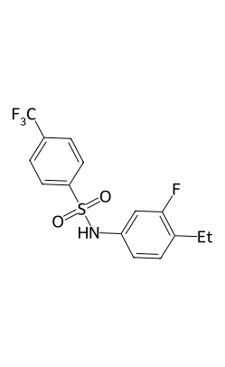 CCc1ccc(NS(=O)(=O)c2ccc(C(F)(F)F)cc2)cc1F